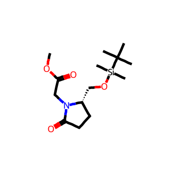 COC(=O)CN1C(=O)CC[C@H]1CO[Si](C)(C)C(C)(C)C